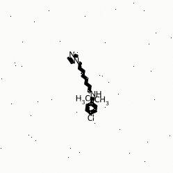 CC(C)(NCCCCCCCCn1ccnc1)c1ccc(Cl)cc1